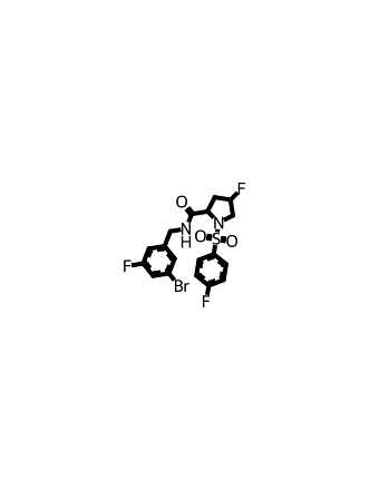 O=C(NCc1cc(F)cc(Br)c1)C1CC(F)CN1S(=O)(=O)c1ccc(F)cc1